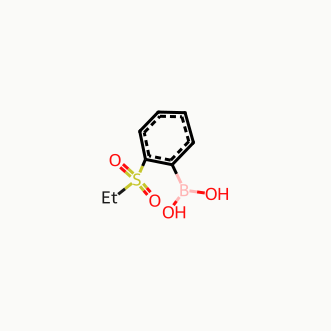 CCS(=O)(=O)c1ccccc1B(O)O